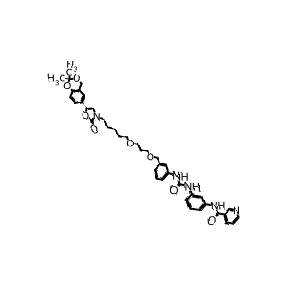 CC1(C)OCc2cc([C@@H]3CN(CCCCCOCCCOCc4cccc(NC(=O)Nc5cccc(NC(=O)c6cccnc6)c5)c4)C(=O)O3)ccc2O1